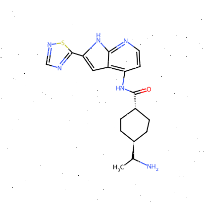 CC(N)[C@H]1CC[C@H](C(=O)Nc2ccnc3[nH]c(-c4ncns4)cc23)CC1